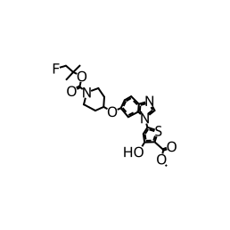 COC(=O)c1sc(-n2cnc3ccc(OC4CCN(C(=O)OC(C)(C)CF)CC4)cc32)cc1O